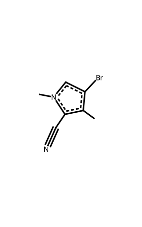 Cc1c(Br)cn(C)c1C#N